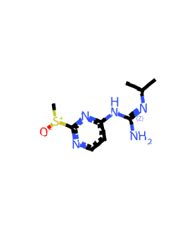 CC(C)/N=C(/N)Nc1ccnc([S+](C)[O-])n1